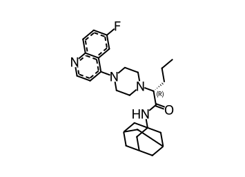 CCC[C@H](C(=O)NC12CC3CC(CC(C3)C1)C2)N1CCN(c2ccnc3ccc(F)cc23)CC1